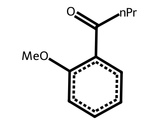 CCCC(=O)c1ccccc1OC